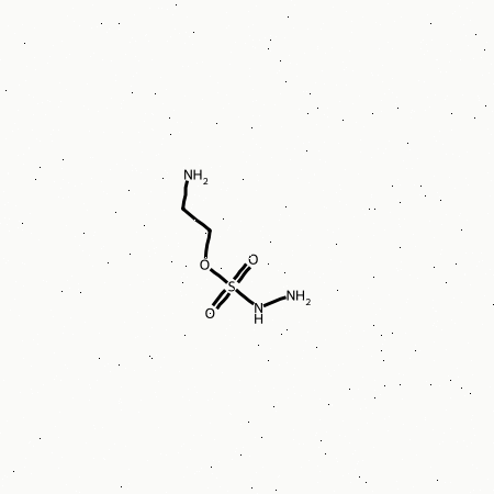 NCCOS(=O)(=O)NN